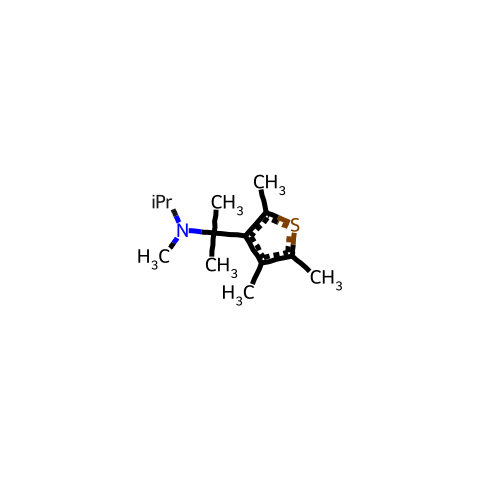 Cc1sc(C)c(C(C)(C)N(C)C(C)C)c1C